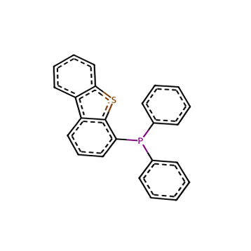 c1ccc(P(c2ccccc2)c2cccc3c2sc2ccccc23)cc1